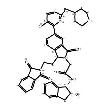 O=C(CN1C(=O)c2cc(-c3nc(NC4CCOCC4)ncc3Cl)ccc2C1CCN1C(=O)c2ccccc2C1=O)N[C@H]1c2ccccc2C[C@H]1O